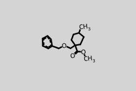 COC(=O)C1(COCc2ccccc2)CCC(C)CC1